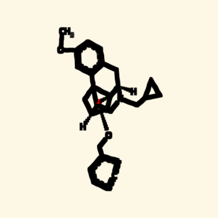 COc1ccc2c(c1)C13CCN(CC4CC4)[C@H](C2)[C@]12C[C@H](OCc1ccccc1)[C@H](C3)O2